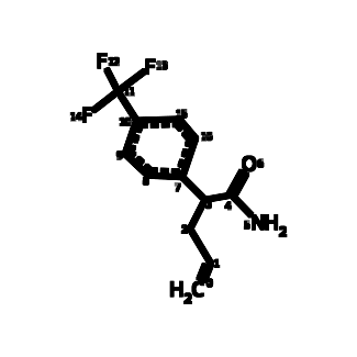 C=CCC(C(N)=O)c1ccc(C(F)(F)F)cc1